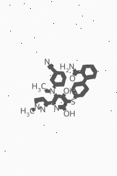 CCN(c1cccc(C#N)c1)c1c(-c2ccn(C)n2)nc(O)c(Sc2ccc(-c3ccccc3C(N)=O)cc2)c1O